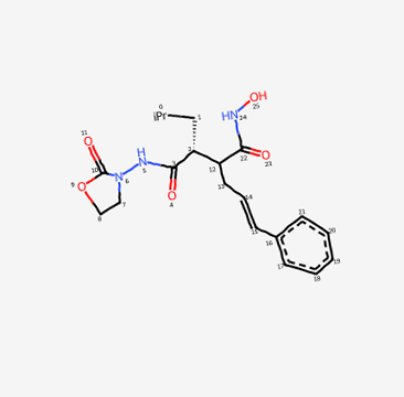 CC(C)C[C@@H](C(=O)NN1CCOC1=O)C(C/C=C/c1ccccc1)C(=O)NO